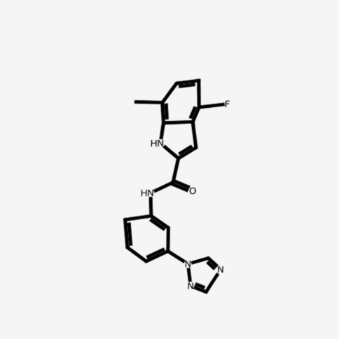 Cc1ccc(F)c2cc(C(=O)Nc3cccc(-n4cncn4)c3)[nH]c12